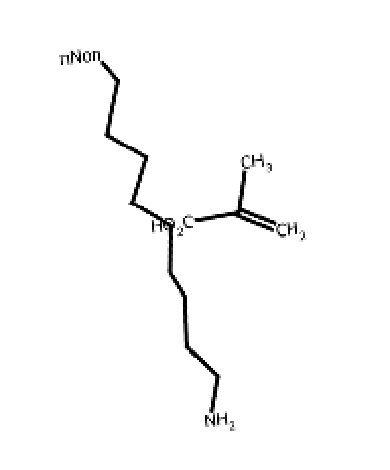 C=C(C)C(=O)O.CCCCCCCCCCCCCCCCCCN